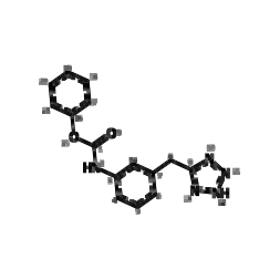 O=C(Nc1cccc(Cc2nn[nH]n2)c1)Oc1ccccc1